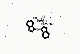 C1=C[CH]([Zr+2][CH]2C=Cc3ccccc32)c2ccccc21.O=C[NH][InH][NH]C=O.[Cl-].[Cl-]